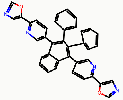 c1ccc(-c2c(-c3ccccc3)c(-c3ccc(-c4cnco4)nc3)c3ccccc3c2-c2ccc(-c3cnco3)nc2)cc1